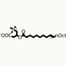 CCCCCCCC/C=C/CCCCCCCC(=O)OC(CC(=O)[O-])C[N+](C)(C)C